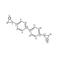 c1cc(C2CO2)ccc1-c1ccc(C2CO2)cc1